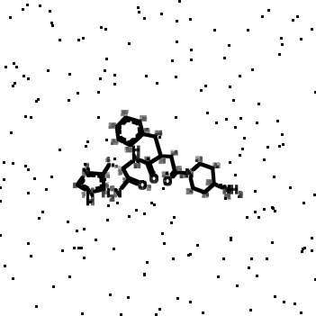 NC(=O)[C@H](Cc1c[nH]cn1)NC(=O)C(CC(=O)N1CCC(N)CC1)Cc1ccccc1